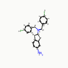 Nc1ccc2c(c1)CC(N(Cc1ccc(F)cc1)Cc1ccc(F)cc1)C2